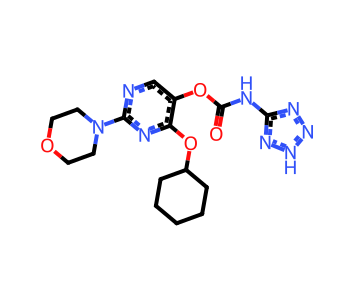 O=C(Nc1nn[nH]n1)Oc1cnc(N2CCOCC2)nc1OC1CCCCC1